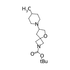 CC1CCN(C2COC3(C2)CN(C(=O)OC(C)(C)C)C3)CC1